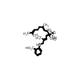 CC(C)=CCC/C(C)=C/CC(C=O)(C/C=C(\C)CNc1ccccc1C(=O)O)P(=O)(O)O